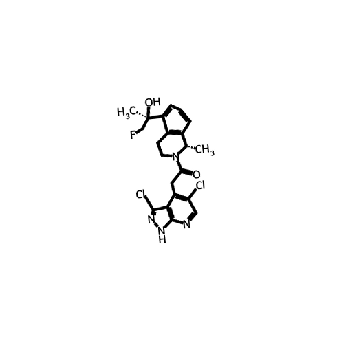 C[C@H]1c2cccc([C@](C)(O)CF)c2CCN1C(=O)Cc1c(Cl)cnc2[nH]nc(Cl)c12